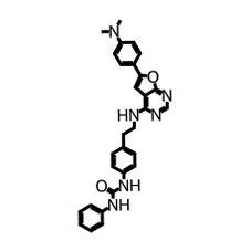 CN(C)c1ccc(-c2cc3c(NCCc4ccc(NC(=O)Nc5ccccc5)cc4)ncnc3o2)cc1